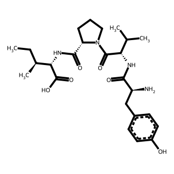 CC[C@H](C)[C@H](NC(=O)[C@@H]1CCCN1C(=O)[C@@H](NC(=O)[C@@H](N)Cc1ccc(O)cc1)C(C)C)C(=O)O